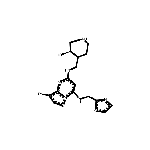 CC(C)c1cnn2c(NCc3ncco3)cc(NCC3CCNC[C@@H]3O)nc12